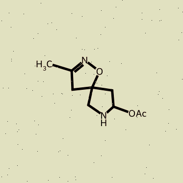 CC(=O)OC1CC2(CN1)CC(C)=NO2